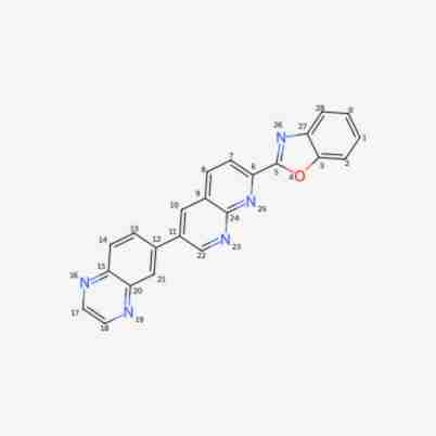 c1ccc2oc(-c3ccc4cc(-c5ccc6nccnc6c5)cnc4n3)nc2c1